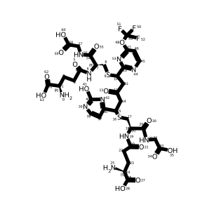 N[C@H](CCC(=O)N[C@@H](CSC(CC(=O)CC(SC[C@H](NC(=O)CC[C@H](N)C(=O)O)C(=O)NCC(=O)O)c1ccnc(O)n1)c1nccc(OC(F)(F)F)n1)C(=O)NCC(=O)O)C(=O)O